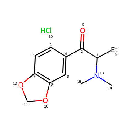 CCC(C(=O)c1ccc2c(c1)OCO2)N(C)C.Cl